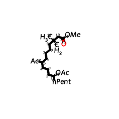 CCCCCC(CCCC(CCCCC(C)(C)CC(=O)OC)C(C)=O)OC(C)=O